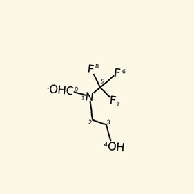 O=[C]N(CCO)C(F)(F)F